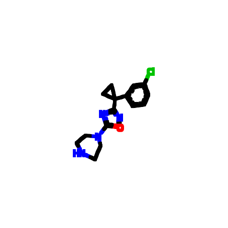 Clc1cccc(C2(c3noc(N4CCNCC4)n3)CC2)c1